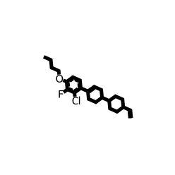 C=CC1CCC(C2CC=C(c3ccc(OCCCC)c(F)c3Cl)CC2)CC1